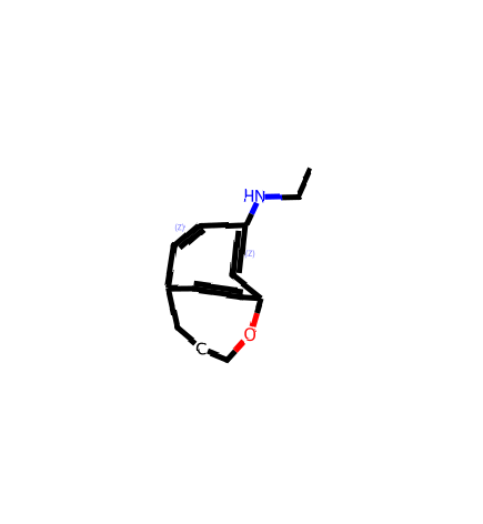 CCNC1=C\C2C=CC(/C=C\1)CCCO2